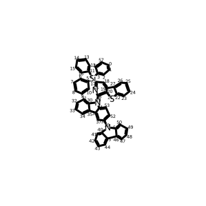 c1ccc([Si](c2ccccc2)(c2ccccc2)c2cc3c(sc4ccccc43)c(-n3c4ccccc4c4cc(-n5c6ccccc6c6ccccc65)ccc43)n2)cc1